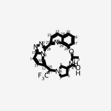 CC1NC2(CO)CCN(C2)[C@@H](C(F)(F)F)c2ccc3nnc(n3c2)-c2ccc3cccc(c3n2)O1